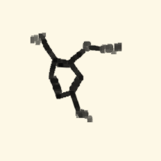 Nc1ccc(N)c(OC(=O)O)c1